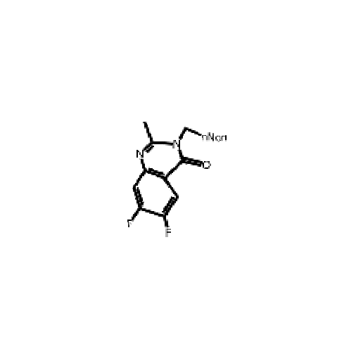 CCCCCCCCCCn1c(C)nc2cc(F)c(F)cc2c1=O